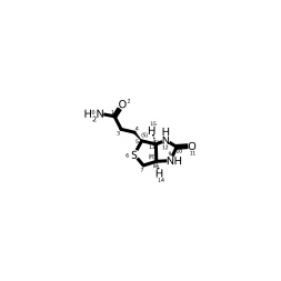 NC(=O)CC[C@@H]1SC[C@@H]2NC(=O)N[C@@H]21